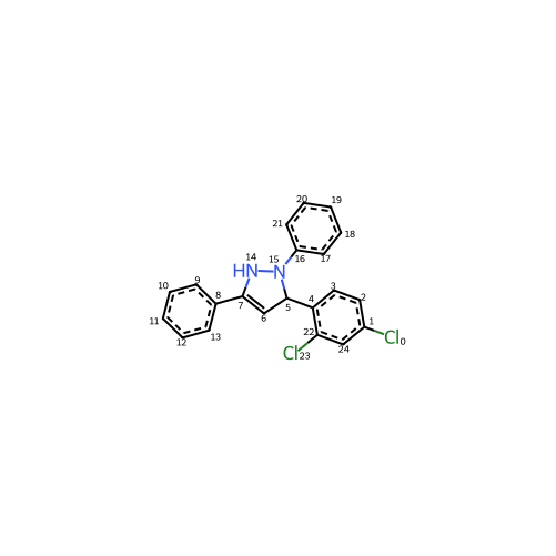 Clc1ccc(C2C=C(c3ccccc3)NN2c2ccccc2)c(Cl)c1